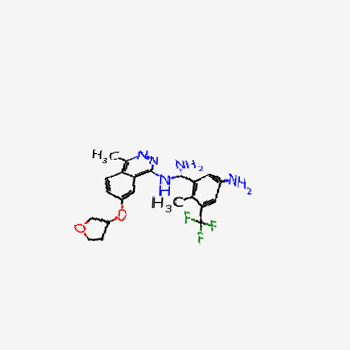 Cc1c([C@@H](N)Nc2nnc(C)c3ccc(O[C@H]4CCOC4)cc23)cc(N)cc1C(F)(F)F